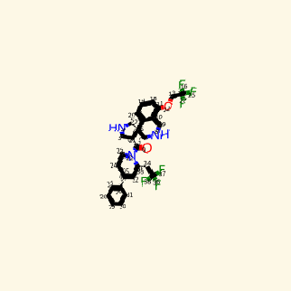 O=C([C@@H]1CNC[C@]12CNCc1c(OCC(F)(F)F)cccc12)N1CC[C@@H](c2ccccc2)C[C@H]1CC(F)(F)F